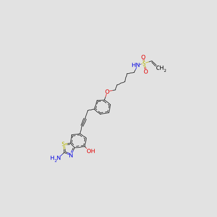 C=CS(=O)(=O)NCCCCCOc1cccc(CC#Cc2cc(O)c3nc(N)sc3c2)c1